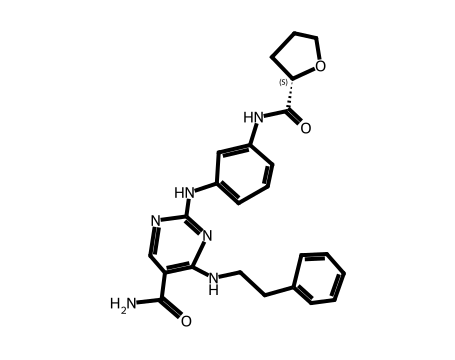 NC(=O)c1cnc(Nc2cccc(NC(=O)[C@@H]3CCCO3)c2)nc1NCCc1ccccc1